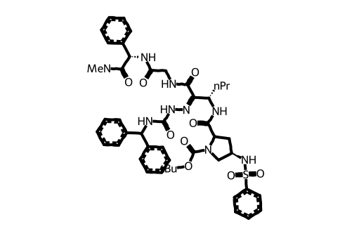 CCC[C@H](NC(=O)C1C[C@@H](NS(=O)(=O)c2ccccc2)CN1C(=O)OC(C)(C)C)C(=NNC(=O)NC(c1ccccc1)c1ccccc1)C(=O)NCC(=O)N[C@H](C(=O)NC)c1ccccc1